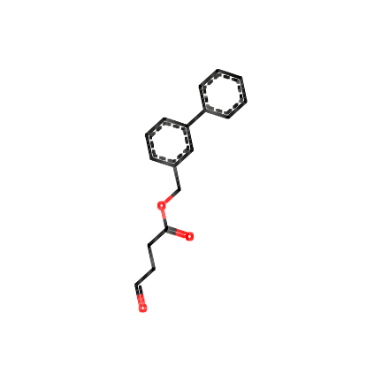 O=CCCC(=O)OCc1cccc(-c2ccccc2)c1